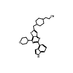 N#CCCN1CCN(Cc2cc3nc(-c4cccc5[nH]ccc45)nc(N4CCOCC4)c3s2)CC1